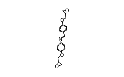 C(=Nc1ccc(OCC2CO2)cc1)c1ccc(OCC2CO2)cc1